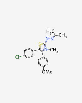 COc1ccc(-c2c(-c3ccc(Cl)cc3)sc(=NN=C(C)C)n2C)cc1